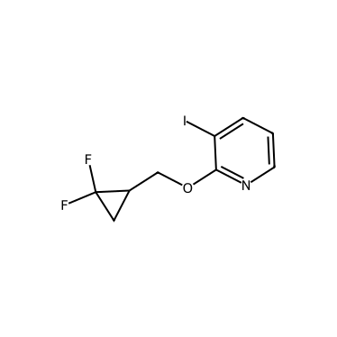 FC1(F)CC1COc1ncccc1I